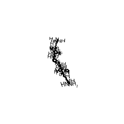 N=C(N)NCCCCC(=O)Nc1cc(C(F)(F)F)cc(NC(=O)Nc2ccc3nc(NC(=O)Nc4cc(C(F)(F)F)cc(NC(=O)CCCCNC(=N)N)c4O[C@@H]4CCNC4)sc3c2)c1O[C@@H]1CCNC1